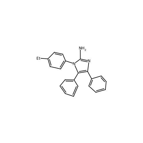 [CH2]Cc1ccc(-n2c(N)nc(-c3ccccc3)c2-c2ccccc2)cc1